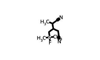 CC(C#N)C(CC#N)CS(C)(C)F